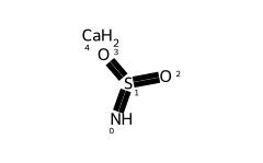 N=S(=O)=O.[CaH2]